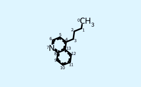 CCCCc1ccnc2ccccc12